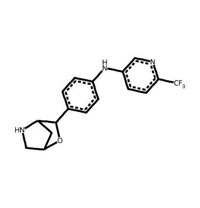 FC(F)(F)c1ccc(Nc2ccc(C3OC4CNC3C4)cc2)cn1